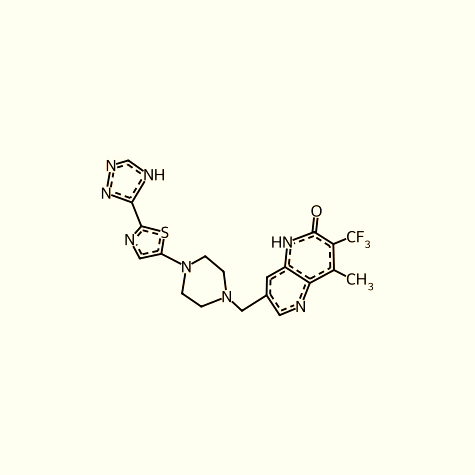 Cc1c(C(F)(F)F)c(=O)[nH]c2cc(CN3CCN(c4cnc(-c5nnc[nH]5)s4)CC3)cnc12